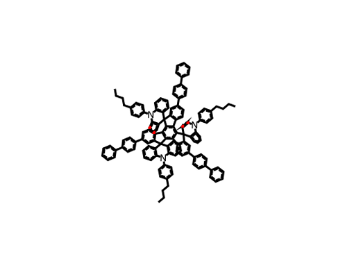 CCCCc1ccc(N2c3ccccc3C3(c4cc(-c5ccc(-c6ccccc6)cc5)ccc4-c4c3c3c(c5c4C4(c6cc(-c7ccc(-c8ccccc8)cc7)ccc6-5)c5ccccc5N(c5ccc(CCCC)cc5)c5ccccc54)C4(c5cc(-c6ccc(-c7ccccc7)cc6)ccc5-3)c3ccccc3N(c3ccc(CCCC)cc3)c3ccccc34)c3ccccc32)cc1